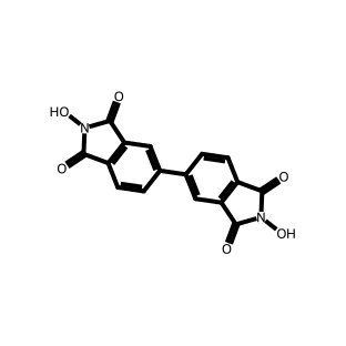 O=C1c2ccc(-c3ccc4c(c3)C(=O)N(O)C4=O)cc2C(=O)N1O